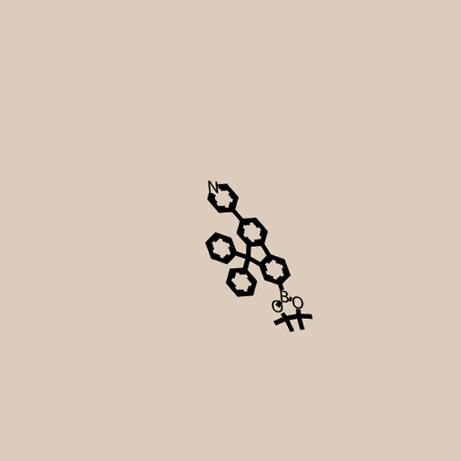 CC1(C)OB(c2ccc3c(c2)C(c2ccccc2)(c2ccccc2)c2cc(-c4ccncc4)ccc2-3)OC1(C)C